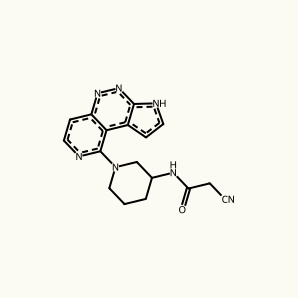 N#CCC(=O)NC1CCCN(c2nccc3nnc4[nH]ccc4c23)C1